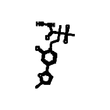 Cc1ccc(-c2ccn(CCC(C)(C(=O)NO)S(C)(=O)=O)c(=O)c2)o1